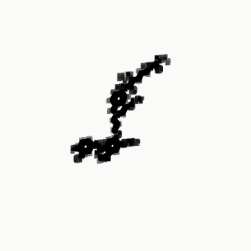 CCCOCCN(CCCOc1cc2c(Nc3ccc(F)c(Cl)c3)ncnc2cc1OC)Cc1ccc(NC(=O)[C@@H](N)CCCNC(N)=O)cc1